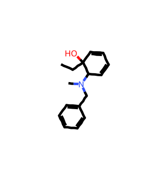 CCC1(O)C=CC=CC1N(C)Cc1ccccc1